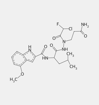 COc1cccc2[nH]c(C(=O)NC(CC(C)C)C(=O)NN(CCC(N)=O)C(=O)C(F)Cl)cc12